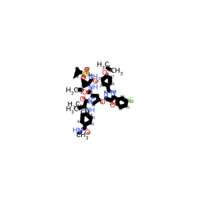 C=C[C@@H]1C[C@]1(NC(=O)[C@@H]1C[C@@H](Oc2nc(-c3ccc(OC(C)C)cc3)nc3c2oc2ccc(F)cc23)CN1C(=O)[C@@H](Nc1ccc(C(=O)NC)cc1)C(C)(C)C)C(=O)NS(=O)(=O)C1CC1